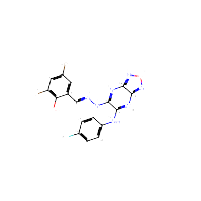 Oc1c(Br)cc(Br)cc1C=NNc1nc2nonc2nc1Nc1ccc(F)cc1